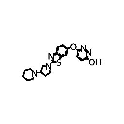 Oc1ccc(Oc2ccc3nc(N4CC[C@@H](N5CCCCC5)C4)sc3c2)nn1